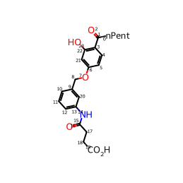 CCCCCC(=O)c1ccc(OCc2cccc(NC(=O)CCC(=O)O)c2)cc1O